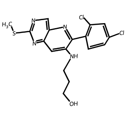 CSc1ncc2nc(-c3ccc(Cl)cc3Cl)c(NCCCO)cc2n1